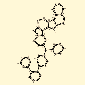 c1ccc(-c2ccccc2-c2ccc(N(c3ccccc3)c3ccc4sc5ccc6c(oc7ccc8ccccc8c76)c5c4c3)cc2)cc1